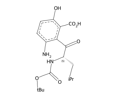 CC(C)C[C@H](NC(=O)OC(C)(C)C)C(=O)c1c(N)ccc(O)c1C(=O)O